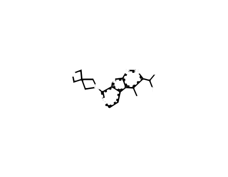 Cc1c(C(F)F)nnc2sc3c(N4CC5(COC5)C4)nccc3c12